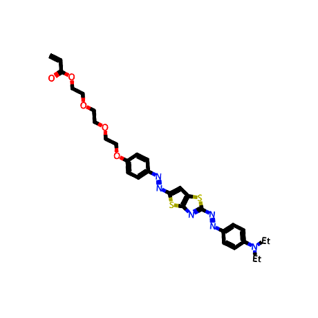 C=CC(=O)OCCOCCOCCOc1ccc(N=Nc2cc3sc(N=Nc4ccc(N(CC)CC)cc4)nc3s2)cc1